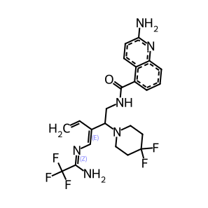 C=C/C(=C\N=C(/N)C(F)(F)F)C(CNC(=O)c1cccc2nc(N)ccc12)N1CCC(F)(F)CC1